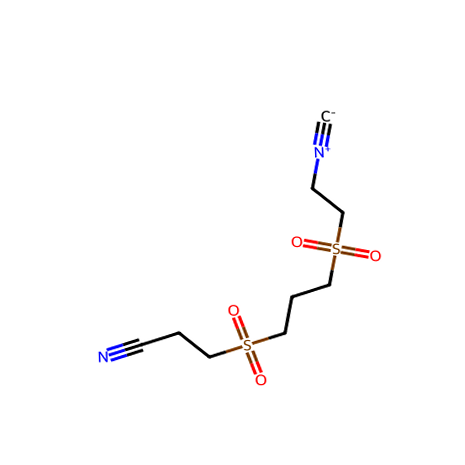 [C-]#[N+]CCS(=O)(=O)CCCS(=O)(=O)CCC#N